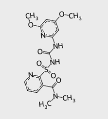 COc1cc(NC(=O)NS(=O)(=O)c2ncccc2C(=O)N(C)C)nc(OC)c1